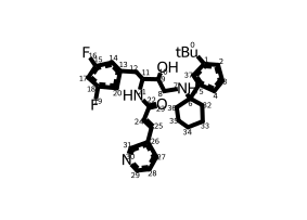 CC(C)(C)c1cccc(C2(NCC(O)C(Cc3cc(F)cc(F)c3)NC(=O)C=Cc3cccnc3)CCCCC2)c1